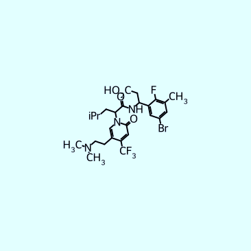 Cc1cc(Br)cc(C(CC(=O)O)NC(=O)C(CC(C)C)n2cc(CCN(C)C)c(C(F)(F)F)cc2=O)c1F